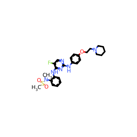 CN(c1ccccc1Nc1nc(Nc2ccc(OCCN3CCCCC3)cc2)ncc1F)S(C)(=O)=O